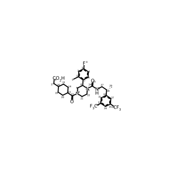 Cc1cc(F)ccc1C1CN(C(=O)C2CCC(CC(=O)O)CC2)CCN1C(=O)NC[C@H](C)c1cc(C(F)(F)F)cc(C(F)(F)F)c1